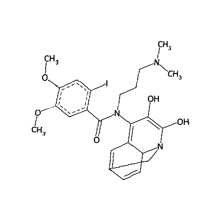 COc1cc(I)c(C(=O)N(CCCN(C)C)C2=C3C=C4C=CC3N(C4)C(O)=C2O)cc1OC